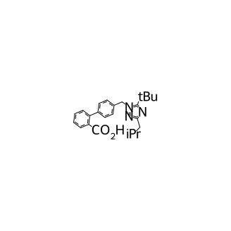 CC(C)Cc1nc(C(C)(C)C)n(Cc2ccc(-c3ccccc3C(=O)O)cc2)n1